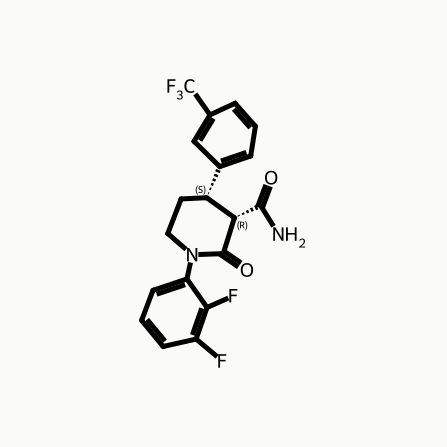 NC(=O)[C@@H]1C(=O)N(c2cccc(F)c2F)CC[C@@H]1c1cccc(C(F)(F)F)c1